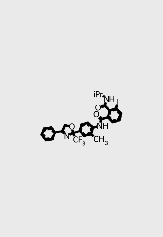 Cc1cc(C2(C(F)(F)F)N=C(c3ccccc3)CO2)ccc1NC(=O)c1cccc(I)c1C(=O)NC(C)C